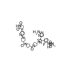 CCN(C)S(=O)(=O)Nc1cccc(-c2nc(C3CCN(C(=O)C4CCN(C(=O)C5CCN(c6ccc([C@H]7CCC(=O)NC7=O)cn6)CC5)CC4)CC3)sc2-c2ccnc(N)n2)c1F